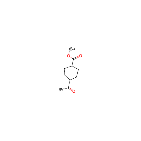 CC(C)C(=O)C1CCC(C(=O)OC(C)(C)C)CC1